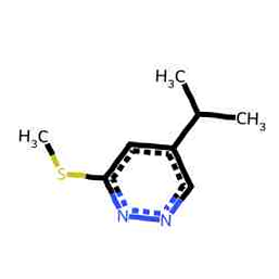 CSc1cc(C(C)C)cnn1